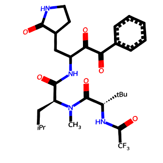 CC(C)C[C@@H](C(=O)NC(CC1CCNC1=O)C(=O)C(=O)c1ccccc1)N(C)C(=O)[C@@H](NC(=O)C(F)(F)F)C(C)(C)C